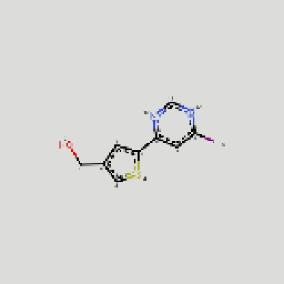 OCc1csc(-c2cc(I)ncn2)c1